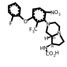 O=C(O)N[C@@H]1CCN2CCN(c3c([N+](=O)[O-])ccc(Oc4ccccc4F)c3C(F)(F)F)C[C@@H]12